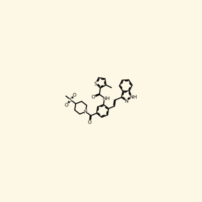 Cc1ccsc1C(=O)Nc1cc(C(=O)N2CCC(S(C)(=O)=O)CC2)ccc1C=Cc1n[nH]c2ccccc12